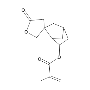 C=C(C)C(=O)OC1CC2CC1C1(COC(=O)C1)C2